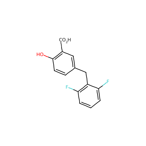 O=C(O)c1cc(Cc2c(F)cccc2F)ccc1O